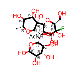 CC(=O)N[C@H]1[C@@H](O)[C@@](O)(F)[C@@H](CO)O[C@H]1[C@@]1(O)[C@H](C(O)[C@H]2O[C@H](O)[C@H](O)[C@@H](O)[C@@H]2O)O[C@H](C)[C@@H](O)[C@@H]1O